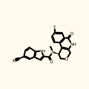 CN(C(=O)c1cc2cc(C#N)ccc2[nH]1)[C@@H]1COCc2[nH]c(=O)c3cc(F)ccc3c21